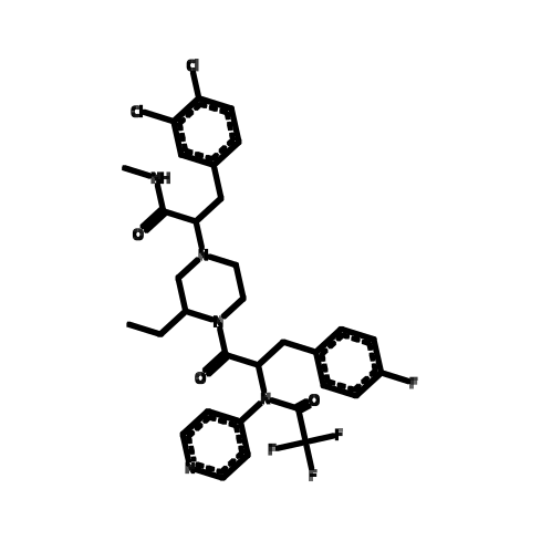 CCC1CN(C(Cc2ccc(Cl)c(Cl)c2)C(=O)NC)CCN1C(=O)C(Cc1ccc(F)cc1)N(C(=O)C(F)(F)F)c1ccncc1